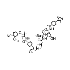 Cc1ncsc1-c1ccc([C@H](C)NC(=O)[C@@H]2C[C@@H](O)CN2C(=O)[C@@H](NC(=O)CN2CCN(CC3(Cc4ccc(C(=O)NC5C(C)(C)C(Oc6ccc(C#N)c(C(F)(F)F)c6)C5(C)C)cc4)COC3)CC2)C(C)(C)C)cc1